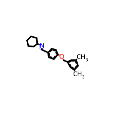 Cc1cc(C)cc(COc2ccc(/C=N/C3CCCCC3)cc2)c1